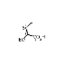 CCC([Se]C)C(=O)O